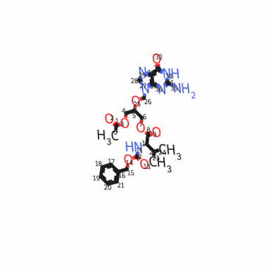 CC(=O)OCC(COC(=O)[C@@H](NC(=O)OCc1ccccc1)C(C)C)OCn1cnc2c(=O)[nH]c(N)nc21